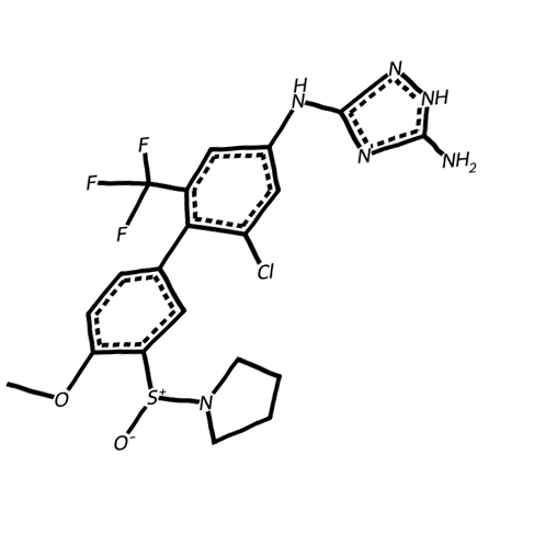 COc1ccc(-c2c(Cl)cc(Nc3n[nH]c(N)n3)cc2C(F)(F)F)cc1[S+]([O-])N1CCCC1